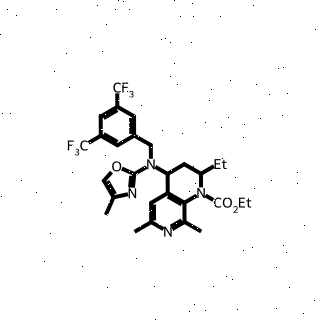 CCOC(=O)N1c2c(cc(C)nc2C)C(N(Cc2cc(C(F)(F)F)cc(C(F)(F)F)c2)c2nc(C)co2)CC1CC